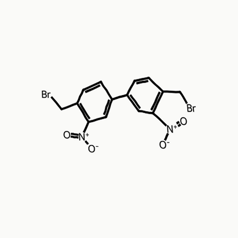 O=[N+]([O-])c1cc(-c2ccc(CBr)c([N+](=O)[O-])c2)ccc1CBr